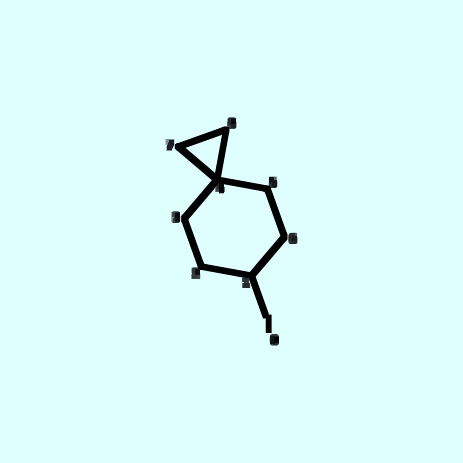 IC1CCC2(CC1)CC2